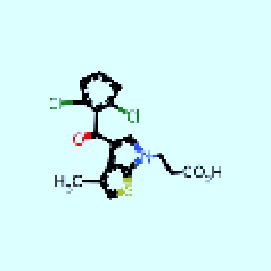 Cc1csc2c1c(C(=O)c1c(Cl)cccc1Cl)cn2CCC(=O)O